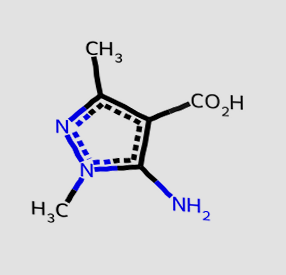 Cc1nn(C)c(N)c1C(=O)O